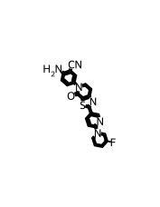 N#Cc1cc(N2CCc3nc(-c4ccc(N5CCC[C@H](F)C5)nc4)sc3C2=O)ccc1N